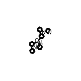 c1cncc(-n2c3ccccc3c3cc(-c4nnc(-c5cccc6c7ccccc7n(-c7cccnc7)c56)o4)ccc32)c1